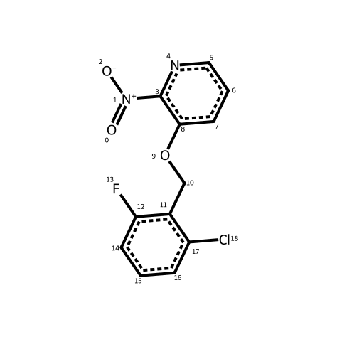 O=[N+]([O-])c1ncccc1OCc1c(F)cccc1Cl